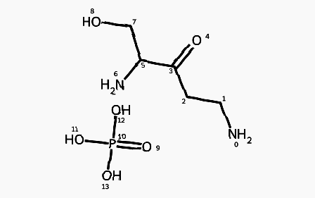 NCCC(=O)C(N)CO.O=P(O)(O)O